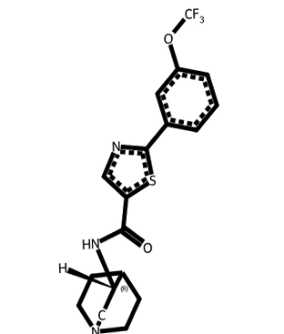 O=C(N[C@H]1CN2CCC1CC2)c1cnc(-c2cccc(OC(F)(F)F)c2)s1